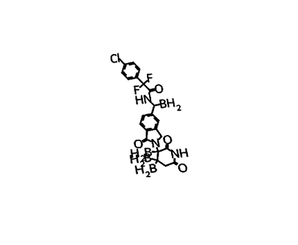 BC(NC(=O)C(F)(F)c1ccc(Cl)cc1)c1ccc2c(c1)CN([C@]1(B)C(=O)NC(=O)CC1(B)B)C2=O